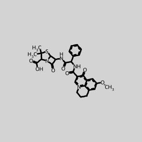 COc1cc2c3c(c1)c(=O)c(C(=O)NC(C(=O)NC1C(=O)N4C1SC(C)(C)C4C(=O)O)c1ccccc1)cn3CCC2